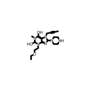 CC#CCN1C2=C(O)N(C)C(O)N(CCOCC)C2=NC1N1CCNCC1